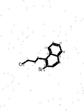 ClCCCc1c(Br)ccc2ccccc12